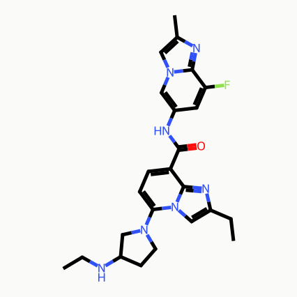 CCNC1CCN(c2ccc(C(=O)Nc3cc(F)c4nc(C)cn4c3)c3nc(CC)cn23)C1